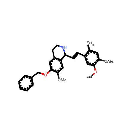 CCCCOc1cc(C=CC2NCCc3cc(OCc4ccccc4)c(OC)cc32)c(C)cc1OC